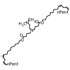 CCCCC/C=C\C/C=C\CCCCCCCCOC(=O)CCCN(CCCC(=O)OCCCCCCCC/C=C\C/C=C\CCCCC)CCN(C)C